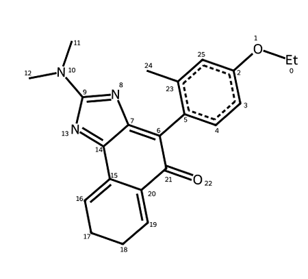 CCOc1ccc(C2=C3N=C(N(C)C)N=C3C3=CCCC=C3C2=O)c(C)c1